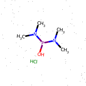 CN(C)P(O)N(C)C.Cl